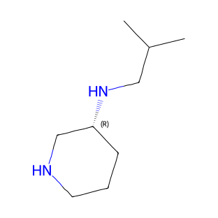 CC(C)CN[C@@H]1CCCNC1